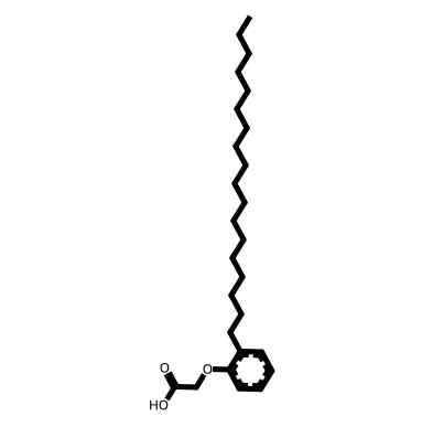 CCCCCCCCCCCCCCCCCCc1ccccc1OCC(=O)O